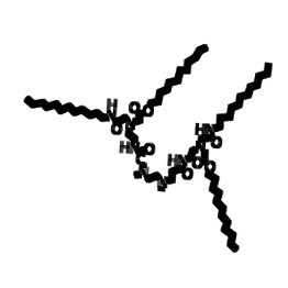 CCCCCCCCCCCCNC(=O)CN(CCNC(=O)CCN(C)CCN(C)CCC(=O)NCCN(CC(=O)NCCCCCCCCCCCC)CC(=O)OCCCCCCCCCCCC)CC(=O)OCCCCCCCCCCCC